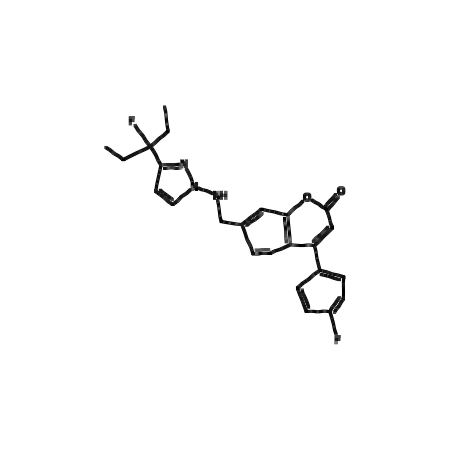 CCC(F)(CC)c1ccn(NCc2ccc3c(-c4ccc(F)cc4)cc(=O)oc3c2)n1